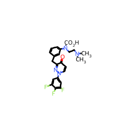 CN(C)CCN(C(=O)O)c1cccc(Cc2nn(-c3cc(F)c(F)c(F)c3)ccc2=O)c1